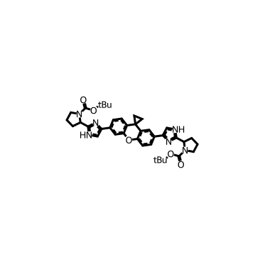 CC(C)(C)OC(=O)N1CCCC1c1nc(-c2ccc3c(c2)Oc2ccc(-c4c[nH]c(C5CCCN5C(=O)OC(C)(C)C)n4)cc2C32CC2)c[nH]1